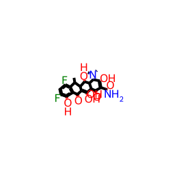 CC1c2c(F)cc(F)c(O)c2C(=O)C2=C(O)C3(O)C(=O)C(C(N)=O)=C(O)C(N(C)C)C3C(O)C21